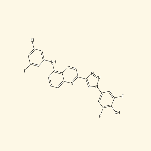 Oc1c(F)cc(-n2cc(-c3ccc4c(Nc5cc(Cl)cc(I)c5)cccc4n3)nn2)cc1F